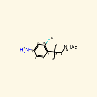 CC(=O)NCC(C)(C)c1ccc(N)cc1F